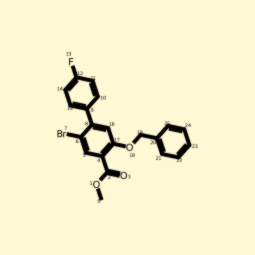 COC(=O)c1cc(Br)c(-c2ccc(F)cc2)cc1OCc1ccccc1